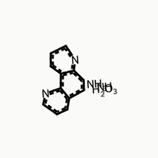 N.N.O.c1cnc2c(c1)ccc1ncccc12